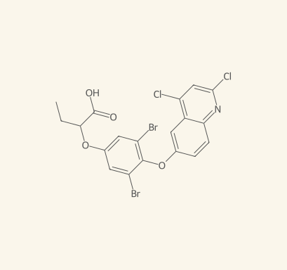 CCC(Oc1cc(Br)c(Oc2ccc3nc(Cl)cc(Cl)c3c2)c(Br)c1)C(=O)O